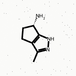 Cc1n[nH]c2c1CC[C@@H]2N